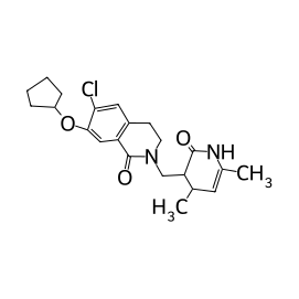 CC1=CC(C)C(CN2CCc3cc(Cl)c(OC4CCCC4)cc3C2=O)C(=O)N1